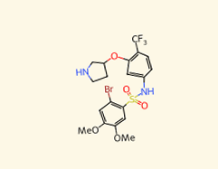 COc1cc(Br)c(S(=O)(=O)Nc2ccc(C(F)(F)F)c(OC3CCNC3)c2)cc1OC